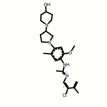 C=C(C)/C(Cl)=C\N=C(/C)Nc1cc(C)c(N2CCC(N3CCC(O)CC3)C2)cc1OC